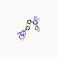 CCC(CNc1ccc2c(c1)Sc1cccc(-c3cc(N4CCOCC4)cc(=O)[nH]3)c1S2)N1CCOCC1